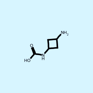 NC1CC(NC(=O)O)C1